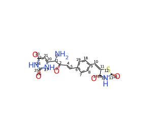 NC(C(=O)C=Cc1ccc(C=C2SC(=O)NC2=O)cc1)c1cc(=O)[nH]c(=O)[nH]1